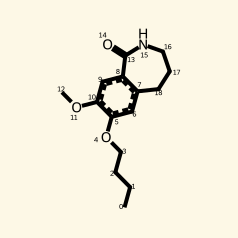 CCCCOc1cc2c(cc1OC)C(=O)NCCC2